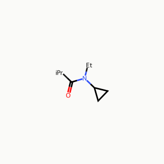 CCN(C(=O)C(C)C)C1CC1